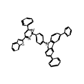 c1ccc(-c2ccc3c(c2)c2cc(-c4ccccc4)ccc2n3-c2ccc(-c3nc(-c4ccccc4)cc(-c4cc5ccccc5s4)n3)cc2)cc1